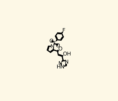 O=C(C=C(O)c1nc[nH]n1)c1cccn1S(=O)(=O)c1ccc(F)cc1